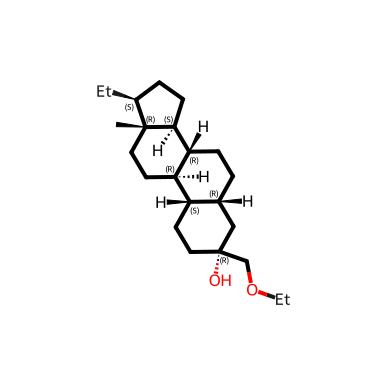 CCOC[C@@]1(O)CC[C@H]2[C@H](CC[C@@H]3[C@@H]2CC[C@]2(C)[C@@H](CC)CC[C@@H]32)C1